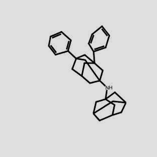 c1ccc(C23CC4CC(NC56CC7CC(CC(C7)C5)C6)(C2)CC(c2ccccc2)(C4)C3)cc1